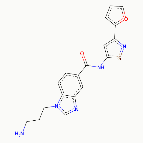 NCCCn1cnc2cc(C(=O)Nc3cc(-c4ccco4)ns3)ccc21